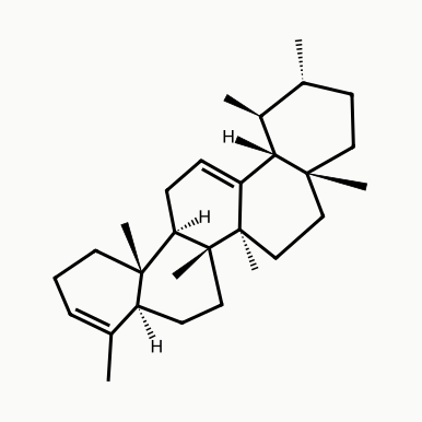 CC1=CCC[C@]2(C)[C@H]3CC=C4[C@@H]5[C@@H](C)[C@H](C)CC[C@]5(C)CC[C@@]4(C)[C@]3(C)CC[C@@H]12